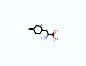 C=C1CCC(CC(N)C(=O)O)CC1